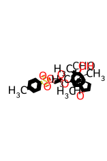 Cc1ccc(S(=O)(=O)OCC(=O)O[C@@H]2C[C@@](C)(C=O)[C@@H](O)[C@H](C)[C@]34CCC(=O)[C@H]3[C@@]2(C)C(C)CC4)cc1